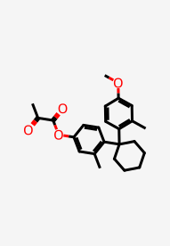 COc1ccc(C2(c3ccc(OC(=O)C(C)=O)cc3C)CCCCC2)c(C)c1